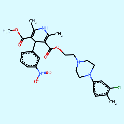 COC(=O)C1=C(C)NC(C)=C(C(=O)OCCN2CCN(c3ccc(C)c(Cl)c3)CC2)C1c1cccc([N+](=O)[O-])c1